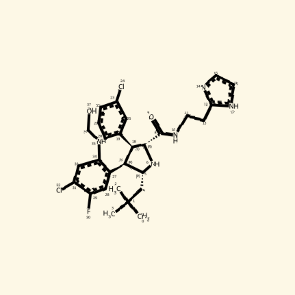 CC(C)(C)C[C@H]1N[C@@H](C(=O)NCCc2ncc[nH]2)[C@H](c2cccc(Cl)c2)[C@@H]1c1cc(F)c(Cl)cc1NCO